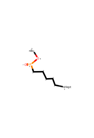 CCCCCCCCCCCC[PH](=O)OCCCC